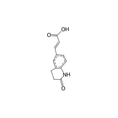 O=C(O)C=Cc1ccc2c(c1)CCC(=O)N2